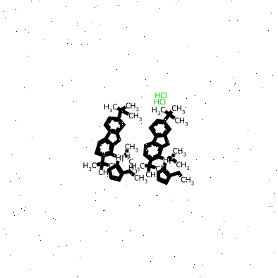 CCC1=[C]([Hf]([c]2c(C(C)(C)C)ccc3c2Cc2cc(C(C)(C)C)ccc2-3)=[Si](C)C)CC=C1.CCC1=[C]([Hf]([c]2c(C(C)(C)C)ccc3c2Cc2cc(C(C)(C)C)ccc2-3)=[Si](C)C)CC=C1.Cl.Cl